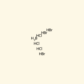 B.Br.Br.Br.Cl.Cl.Cl